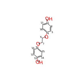 Oc1ccc(OCCOc2ccc(O)cc2)cc1